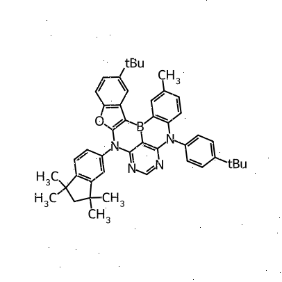 Cc1ccc2c(c1)B1c3c(ncnc3N(c3ccc4c(c3)C(C)(C)CC4(C)C)c3oc4ccc(C(C)(C)C)cc4c31)N2c1ccc(C(C)(C)C)cc1